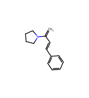 C=C(/C=C/c1ccccc1)N1CCCC1